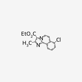 CCOC(=O)c1c(C)nc2c3cccc(Cl)c3ccn12